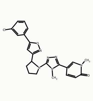 Cn1c(-c2ccc(=O)n(C)c2)nnc1N1CCCC1c1cc(-c2cccc(Cl)c2)on1